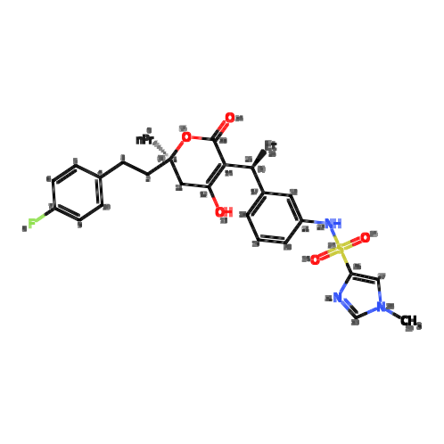 CCC[C@@]1(CCc2ccc(F)cc2)CC(O)=C([C@@H](CC)c2cccc(NS(=O)(=O)c3cn(C)cn3)c2)C(=O)O1